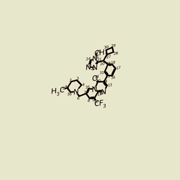 C[C@H]1CCCN(Cc2cc(C(F)(F)F)c3ncc(-c4cccc(C(c5nncn5C)C5CCC5)c4)c(=O)n3c2)C1